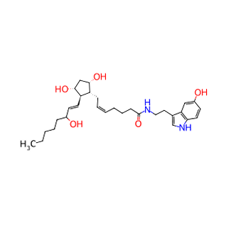 CCCCCC(O)/C=C/[C@@H]1[C@@H](C/C=C\CCCC(=O)NCCc2c[nH]c3ccc(O)cc23)[C@@H](O)C[C@H]1O